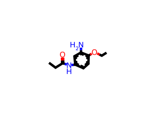 CCOc1ccc(NC(=O)CC)cc1N